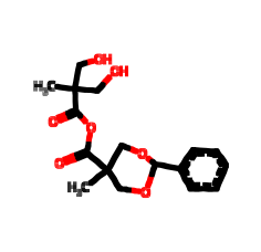 CC(CO)(CO)C(=O)OC(=O)C1(C)COC(c2ccccc2)OC1